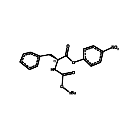 CCCCOC(=O)N[C@@H](Cc1ccccc1)C(=O)Oc1ccc([N+](=O)[O-])cc1